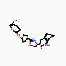 O=c1[nH]c2ccccc2cc1-c1csc(-c2ccc(Oc3ccc(C(F)(F)F)cn3)cc2)n1